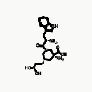 N[C@@H](Cc1c[nH]c2ccccc12)C(=O)N1C[C@@H](CCB(O)O)C[C@](N)(C(=O)O)C1